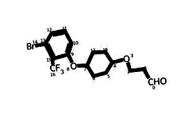 O=CCCOC1CCC(Oc2cccc(Br)c2C(F)(F)F)CC1